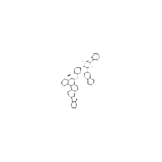 C#Cc1ccc(-c2nc3sc4ccccc4c3nc2-c2ccc3ccccc3c2)cc1Cc1cc2ccccc2c2c1ccc1c2ccc2c3ccccc3oc21